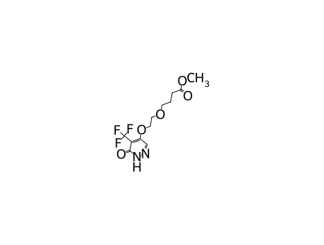 COC(=O)CCCOCCOc1cn[nH]c(=O)c1C(F)(F)F